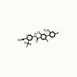 C#Cc1ncc(NC(=O)c2cc(F)c(-c3ccc(F)cc3N)cc2Cl)cc1C(F)(F)F